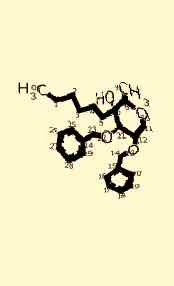 CCCCCC[C@@]1(O)C(C)OCC(OCc2ccccc2)[C@H]1OCc1ccccc1